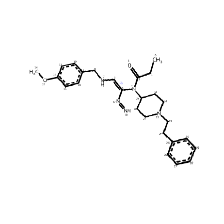 CCC(=O)N(/C(=C/NCc1ccc(OC)cc1)N=N)C1CCN(CCc2ccccc2)CC1